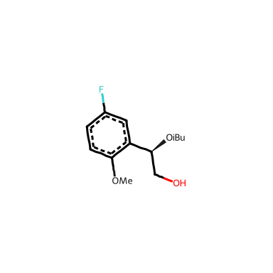 COc1ccc(F)cc1[C@H](CO)OCC(C)C